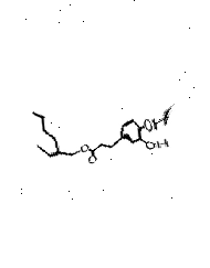 CCCCC(CC)COC(=O)CCc1ccc(O)c(O)c1